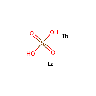 O=S(=O)(O)O.[La].[Tb]